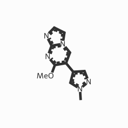 COc1nc2nccn2cc1-c1cnn(C)c1